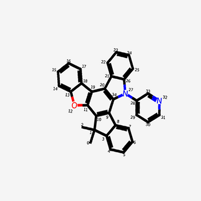 CC1(C)c2ccccc2-c2c1c1oc3ccccc3c1c1c3ccccc3n(-c3cccnc3)c21